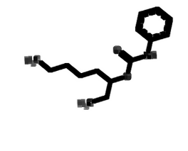 CCCCCC(CC)OC(=O)Nc1ccccc1